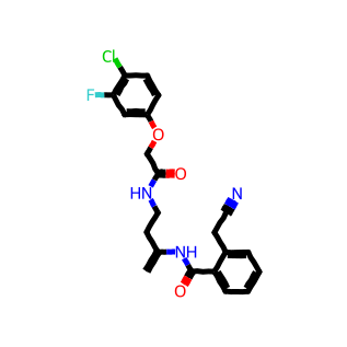 C=C(CCNC(=O)COc1ccc(Cl)c(F)c1)NC(=O)c1ccccc1CC#N